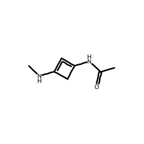 CNC1=C=C(NC(C)=O)C1